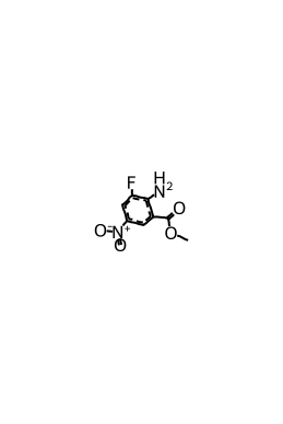 COC(=O)c1cc([N+](=O)[O-])cc(F)c1N